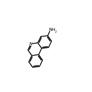 Nc1ccc2c(c1)ncc1ccccc12